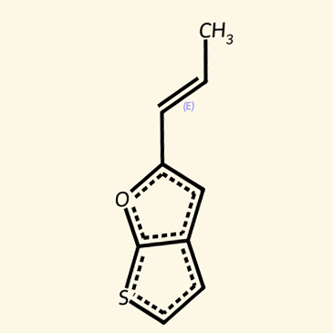 C/C=C/c1cc2ccsc2o1